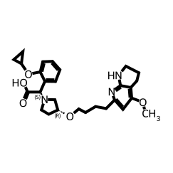 COc1cc(CCCCO[C@@H]2CCN([C@H](C(=O)O)c3ccccc3OC3CC3)C2)nc2c1CCCN2